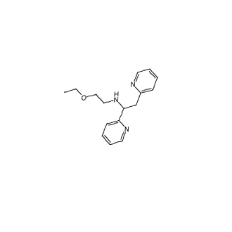 CCOCCNC(Cc1ccccn1)c1ccccn1